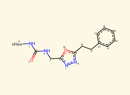 CCCCCCNC(=O)NCc1nnc(CCc2ccccc2)o1